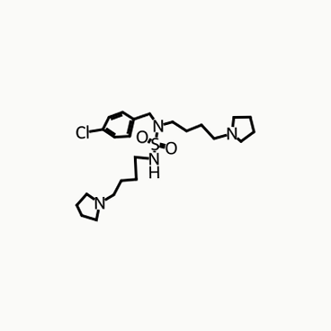 O=S(=O)(NCCCCN1CCCC1)N(CCCCN1CCCC1)Cc1ccc(Cl)cc1